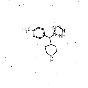 Cc1ccc([C@H](C2CCNCC2)N2NC=NN2)cc1